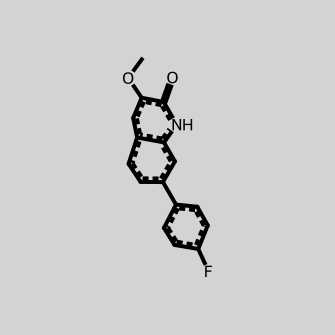 COc1cc2ccc(-c3ccc(F)cc3)cc2[nH]c1=O